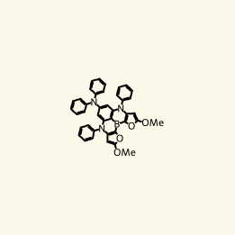 COc1cc2c(o1)B1c3oc(OC)cc3N(c3ccccc3)c3cc(N(c4ccccc4)c4ccccc4)cc(c31)N2c1ccccc1